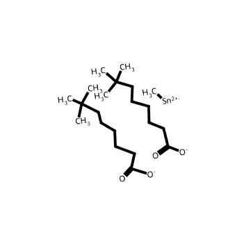 CC(C)(C)CCCCCC(=O)[O-].CC(C)(C)CCCCCC(=O)[O-].[CH3][Sn+2]